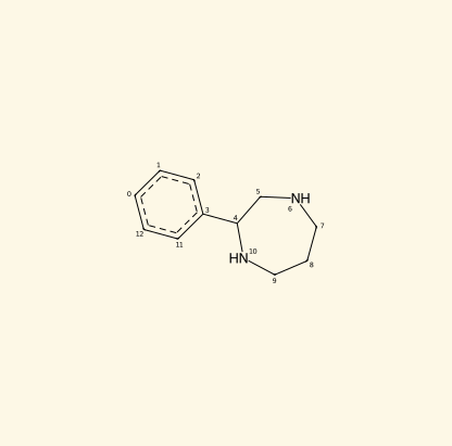 c1ccc(C2CNCCCN2)cc1